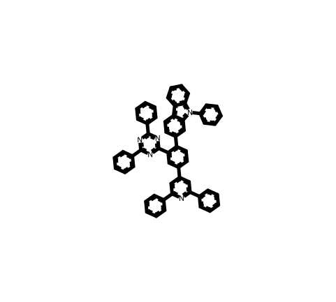 c1ccc(-c2cc(-c3ccc(-c4ccc5c6ccccc6n(-c6ccccc6)c5c4)c(-c4nc(-c5ccccc5)nc(-c5ccccc5)n4)c3)cc(-c3ccccc3)n2)cc1